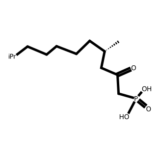 CC(C)CCCCC[C@H](C)CC(=O)CP(=O)(O)O